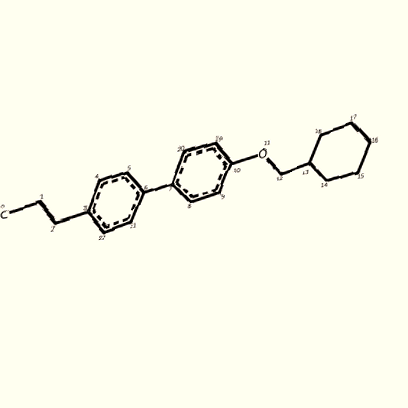 CCCc1ccc(-c2ccc(OCC3CC[CH]CC3)cc2)cc1